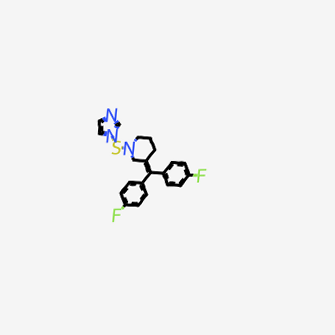 Fc1ccc(C(=C2CCCN(Sn3ccnc3)C2)c2ccc(F)cc2)cc1